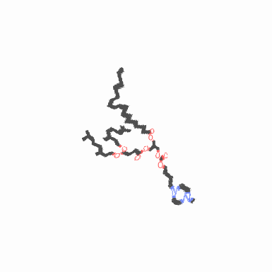 CCCCC/C=C\C/C=C\CCCCCCCC(=O)OCC(COC(=O)CCC(OCCC(C)CCC=C(C)C)OCCC(C)CCC=C(C)C)COC(=O)OCCCCN1CCN(C)CC1